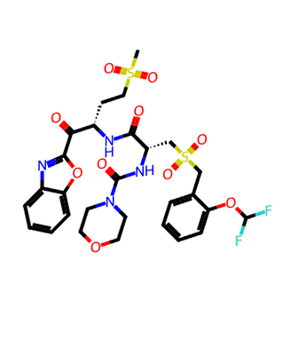 CS(=O)(=O)CC[C@H](NC(=O)[C@H](CS(=O)(=O)Cc1ccccc1OC(F)F)NC(=O)N1CCOCC1)C(=O)c1nc2ccccc2o1